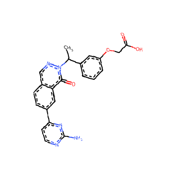 CC(c1cccc(OCC(=O)O)c1)n1ncc2ccc(-c3ccnc(N)n3)cc2c1=O